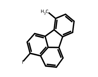 Cc1cccc2c1-c1ccc(I)c3cccc-2c13